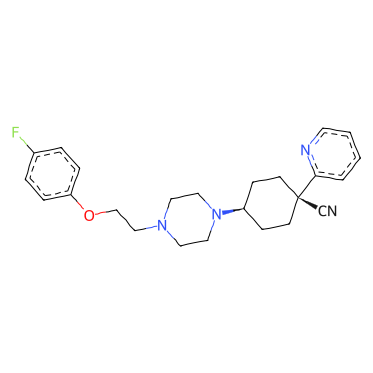 N#C[C@]1(c2ccccn2)CC[C@H](N2CCN(CCOc3ccc(F)cc3)CC2)CC1